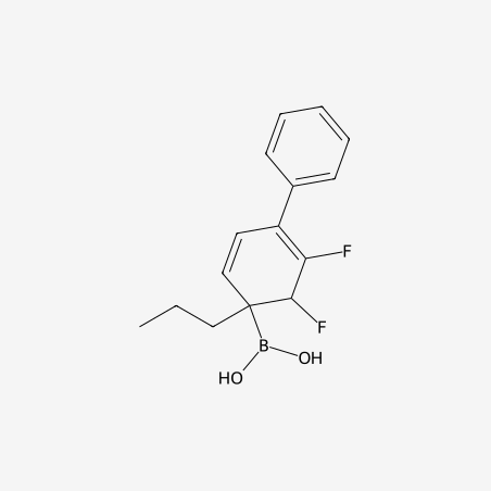 CCCC1(B(O)O)C=CC(c2ccccc2)=C(F)C1F